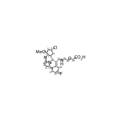 COc1cc(Cl)ccc1/N=c1/scc(-c2ccc(F)cc2)n1CCCNCCOCC(=O)O